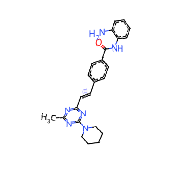 Cc1nc(/C=C/c2ccc(C(=O)Nc3ccccc3N)cc2)nc(N2CCCCC2)n1